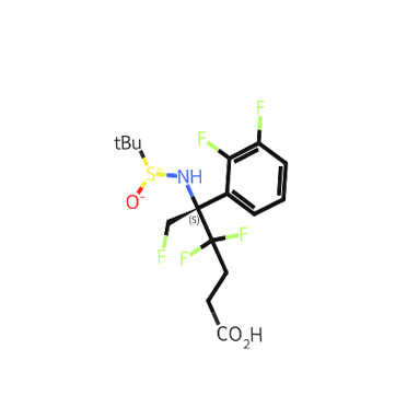 CC(C)(C)[S+]([O-])N[C@](CF)(c1cccc(F)c1F)C(F)(F)CCC(=O)O